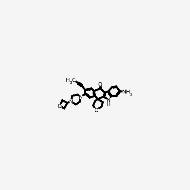 CC#Cc1cc2c(cc1N1CCN(C3COC3)CC1)C1(CCOCC1)c1[nH]c3cc(N)ccc3c1C2=O